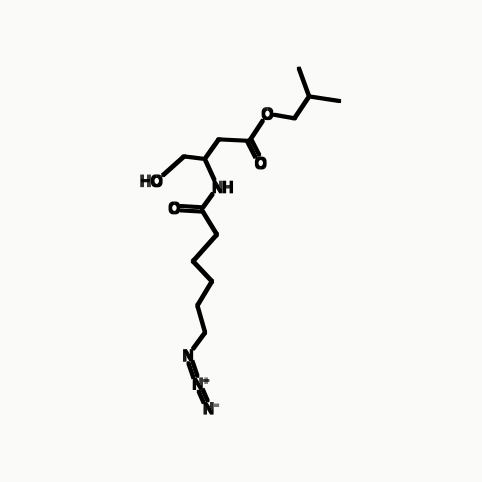 CC(C)COC(=O)CC(CO)NC(=O)CCCCCN=[N+]=[N-]